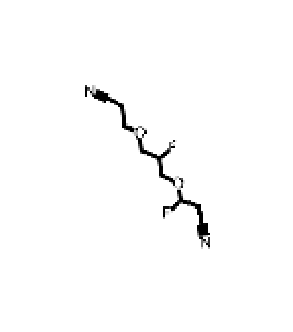 N#CCCOCC(F)COC(F)CC#N